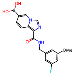 COc1cc(F)cc(CNC(=O)c2ncn3cc(B(O)O)ccc23)c1